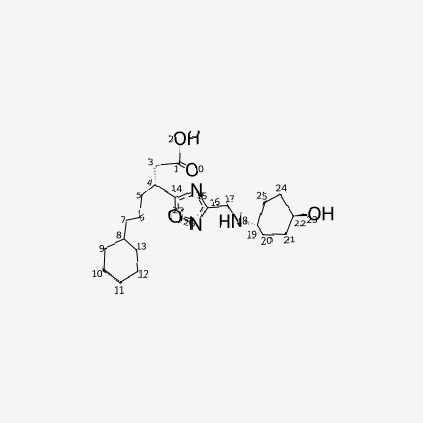 O=C(O)C[C@@H](CCCC1CCCCC1)c1nc(CN[C@H]2CC[C@H](O)CC2)no1